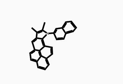 Cc1c(C)n(-c2ccc3ccccc3c2)c2c1cc1ccc3cccc4ccc2c1c34